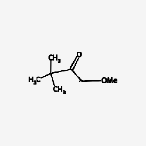 CO[CH]C(=O)C(C)(C)C